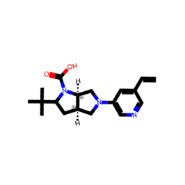 C=Cc1cncc(N2C[C@H]3CC(C(C)(C)C)N(C(=O)O)[C@H]3C2)c1